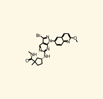 CNC(=O)C1(C)CC[C@@H](Nc2ncc3c(Br)nn(-c4ccc5nc(OC)ccc5c4)c3n2)C1